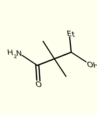 CCC(O)C(C)(C)C(N)=O